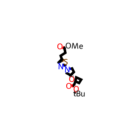 COC(=O)CCc1cnc(N2CC[C@H](OC3(C(=O)OC(C)(C)C)CCC3)C2)s1